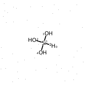 [2H][Si](O)(O)O